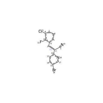 N#C/C(=C\c1cccc(Cl)c1F)c1ccc(Br)cn1